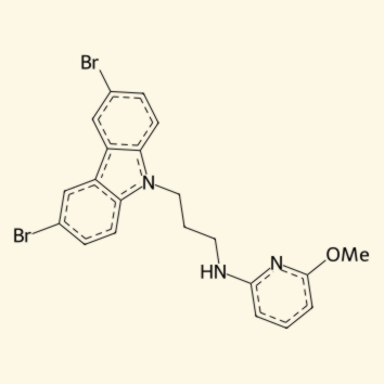 COc1cccc(NCCCn2c3ccc(Br)cc3c3cc(Br)ccc32)n1